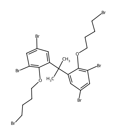 CC(C)(c1cc(Br)cc(Br)c1OCCCCBr)c1cc(Br)cc(Br)c1OCCCCBr